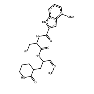 C/N=C\C(CC1CCCNC1=O)NC(=O)C(CC(C)C)NC(=O)c1cc2c(OC)cccc2[nH]1